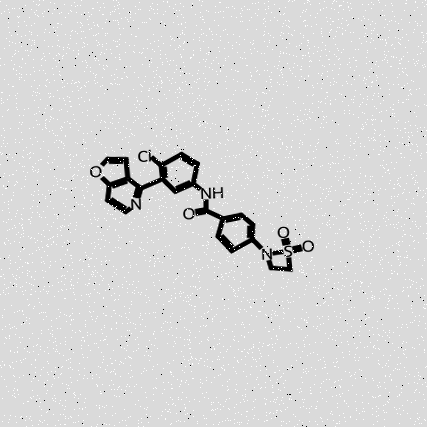 O=C(Nc1ccc(Cl)c(-c2nccc3occc23)c1)c1ccc(N2CCS2(=O)=O)cc1